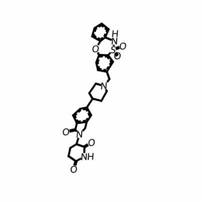 O=C1CCC(N2Cc3cc(C4CCN(Cc5ccc6c(c5)S(=O)(=O)Nc5ccccc5O6)CC4)ccc3C2=O)C(=O)N1